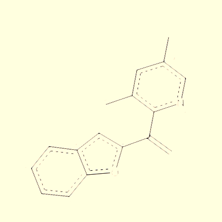 C=C(c1cc2ccccc2o1)c1ncc(C)cc1C